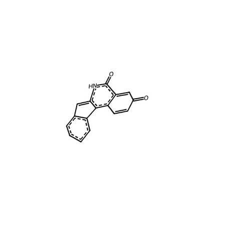 O=C1C=Cc2c3c([nH]c(=O)c2=C1)=Cc1ccccc1-3